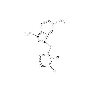 Cc1nn(Cc2cccc(Cl)c2Cl)c2cc(C(=O)O)ccc12